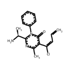 C=C/C=C(/Cl)c1c(C)nc([C@H](C)N)n(-c2ccccc2)c1=O